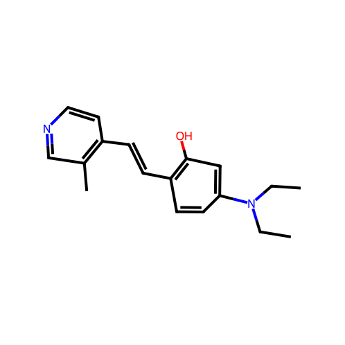 CCN(CC)c1ccc(/C=C/c2ccncc2C)c(O)c1